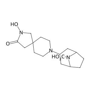 O=C1CC2(CCN(C3CC4CCC(C3)N4C(=O)O)CC2)CN1O